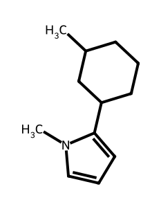 CC1CCCC(c2cccn2C)C1